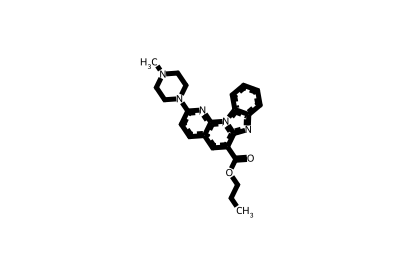 CCCOC(=O)c1cc2ccc(N3CCN(C)CC3)nc2n2c1nc1ccccc12